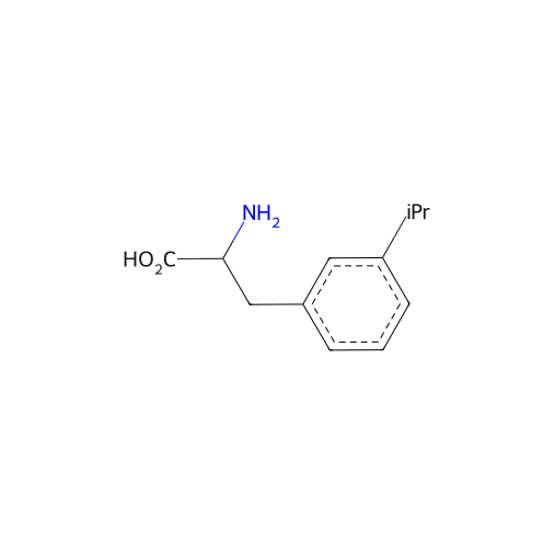 CC(C)c1cccc(CC(N)C(=O)O)c1